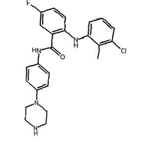 Cc1c(Cl)cccc1Nc1ccc(F)cc1C(=O)Nc1ccc(N2CCNCC2)cc1